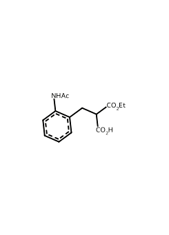 CCOC(=O)C(Cc1ccccc1NC(C)=O)C(=O)O